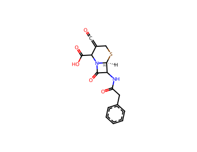 O=C=C1CS[C@H]2C(NC(=O)Cc3ccccc3)C(=O)N2C1C(=O)O